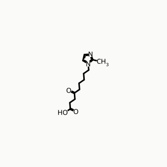 Cc1nccn1CCCCCC(=O)CCC(=O)O